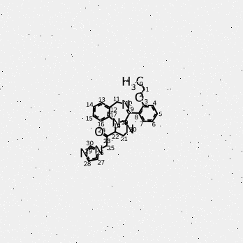 CCOc1ccccc1C1=NCc2ccccc2N2C1=NCC2C(=O)Cn1ccnc1